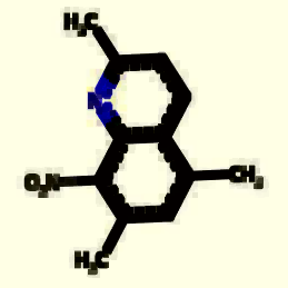 Cc1ccc2c(C)cc(C)c([N+](=O)[O-])c2n1